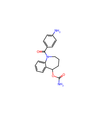 NC(=O)OC1CCCN(C(=O)c2ccc(N)cc2)c2ccccc21